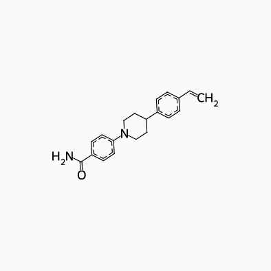 C=Cc1ccc(C2CCN(c3ccc(C(N)=O)cc3)CC2)cc1